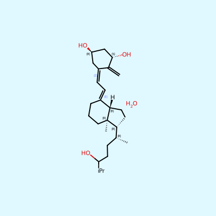 C=C1/C(=C\C=C2/CCC[C@]3(C)[C@@H]([C@H](C)CCC(O)C(C)C)CC[C@@H]23)C[C@@H](O)C[C@@H]1O.O